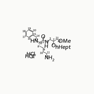 CCCCCCCOC(CNC(=O)[C@H](CCCCN)NCc1ccccc1)COC.Cl.Cl